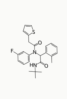 Cc1ccccc1C(C(=O)NC(C)(C)C)N(C(=O)Cc1cccs1)c1cccc(F)c1